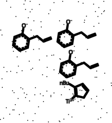 C=CCc1ccccc1[O-].C=CCc1ccccc1[O-].C=CCc1ccccc1[O-].CCCCC1=[C]([Ti+3])CC=C1